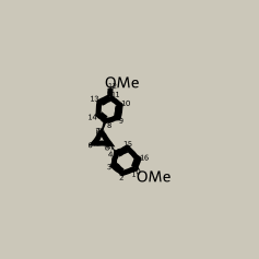 COc1ccc([C@@H]2C[C@H]2c2ccc(OC)cc2)cc1